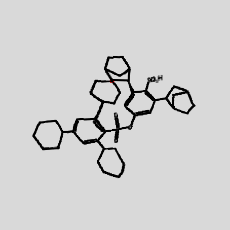 O=S(=O)(O)c1c(C2CC3CCC2C3)cc(OS(=O)(=O)c2c(C3CCCCC3)cc(C3CCCCC3)cc2C2CCCCC2)cc1[C@H]1CC2CCC1C2